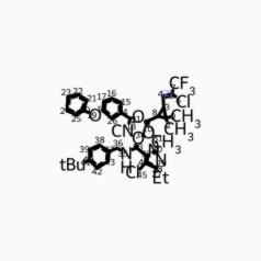 CC1(C)C(/C=C(\Cl)C(F)(F)F)C1C(=O)OC(C#N)c1cccc(Oc2ccccc2)c1.CCc1nn(C)c(C(=O)NCc2ccc(C(C)(C)C)cc2)c1Cl